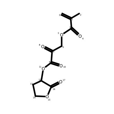 C=C(C)C(=O)OCC(=O)C(=O)OC1CCOC1=O